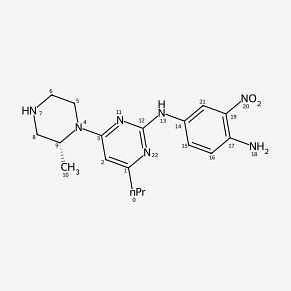 CCCc1cc(N2CCNC[C@H]2C)nc(Nc2ccc(N)c([N+](=O)[O-])c2)n1